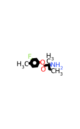 CC[C@](C)(N)C(=O)Oc1ccc(C)c(F)c1